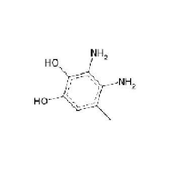 Cc1cc(O)c(O)c(N)c1N